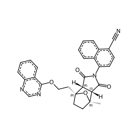 C[C@]12CC[C@](CCOc3ncnc4ccccc34)(O1)[C@@H]1C(=O)N(c3ccc(C#N)c4ccccc34)C(=O)[C@@H]12